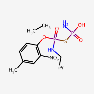 CC.Cc1ccc(OP(=O)(NCC(C)C)SP(N)(=O)O)c([N+](=O)[O-])c1